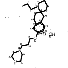 CCCN1CCCCC12CCc1cc(OCCCN3CCOCC3)ccc1C2.Cl.Cl